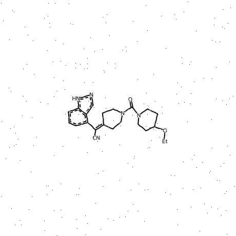 CCOC1CCN(C(=O)N2CCC(=C(C#N)c3cccc4[nH]ncc34)CC2)CC1